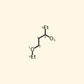 CCOCCC([O])CC